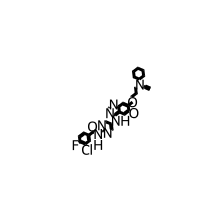 C#CN(CCCOc1cc2ncnc(Nc3cnc(NC(=O)c4ccc(F)c(Cl)c4)nc3)c2cc1OC)C1CCCCC1